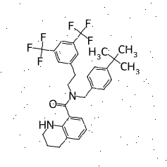 CC(C)(C)c1ccc(CN(CCc2cc(C(F)(F)F)cc(C(F)(F)F)c2)C(=O)c2cccc3c2NCCC3)cc1